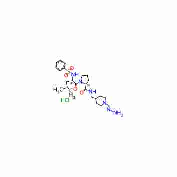 CC(C)C[C@@H](NS(=O)(=O)c1ccccc1)C(=O)N1CCC[C@H]1C(=O)NCC1CCN(C=NN)CC1.Cl